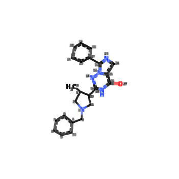 CC1CN(Cc2ccccc2)CC1c1nn2c(-c3ccccc3)ncc2c(=O)[nH]1